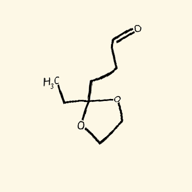 CCC1(CCC=O)OCCO1